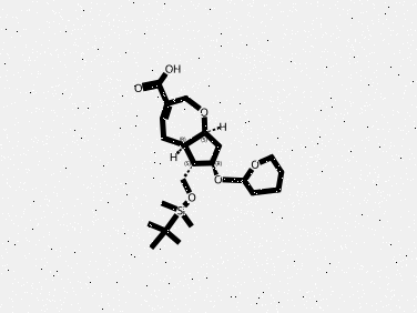 CC(C)(C)[Si](C)(C)OC[C@@H]1[C@H]2CC=C(C(=O)O)CO[C@H]2C[C@H]1OC1CCCCO1